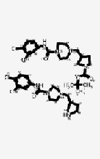 CC(C)(C)OC(=O)N1CCC(CN2CCN(C(=O)Nc3ccc(Cl)c(Cl)c3)CC2)C1.O=C(Nc1ccc(Cl)c(Cl)c1)N1CCN(CC2CCNC2)CC1